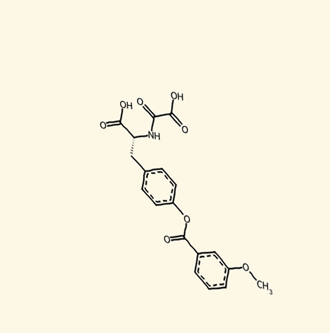 COc1cccc(C(=O)Oc2ccc(C[C@@H](NC(=O)C(=O)O)C(=O)O)cc2)c1